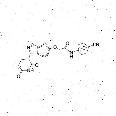 Cn1nc(C2CCC(=O)NC2=O)c2ccc(OCC(=O)NC34CCC(C#N)(CC3)CC4)cc21